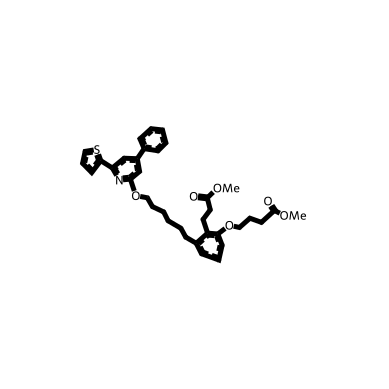 COC(=O)CCCOc1cccc(CCCCCCOc2cc(-c3ccccc3)cc(-c3cccs3)n2)c1CCC(=O)OC